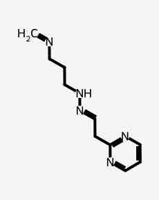 C=NCCCN/N=C/Cc1ncccn1